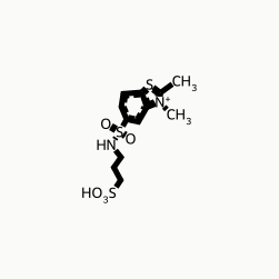 Cc1sc2ccc(S(=O)(=O)NCCCS(=O)(=O)O)cc2[n+]1C